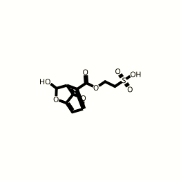 O=C(OCCS(=O)(=O)O)c1c2c3oc1cc3OC2O